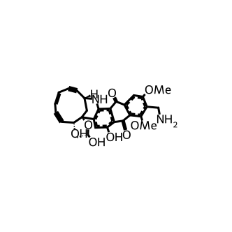 COc1cc2c(c(OC)c1CN)C(=O)c1c(O)cc3c(c1C2=O)N[C@H]1C#C/C=C\C#C[C@@H](O)[C@]3(O[C@@H](C)O)C1